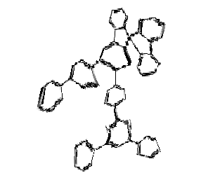 c1ccc(-c2ccc(-c3cc4c(cc3-c3ccc(-c5nc(-c6ccccc6)cc(-c6ccccc6)n5)cc3)C3(c5ccccc5-c5ccccc53)c3ccccc3-4)cc2)cc1